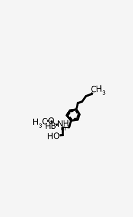 CCCCCc1ccc(C[C@@H](CO)NBOC)cc1